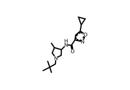 CC1CN(CC(C)(C)C)CC1NC(=O)c1cc(C2CC2)on1